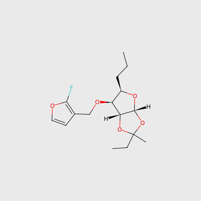 CCC[C@H]1O[C@@H]2OC(C)(CC)O[C@@H]2[C@H]1OCc1ccoc1F